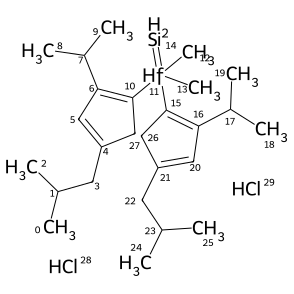 CC(C)CC1=CC(C(C)C)=[C]([Hf]([CH3])([CH3])(=[SiH2])[C]2=C(C(C)C)C=C(CC(C)C)C2)C1.Cl.Cl